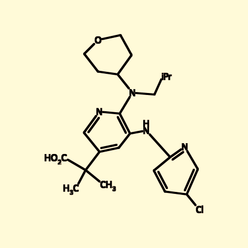 CC(C)CN(c1ncc(C(C)(C)C(=O)O)cc1Nc1ccc(Cl)cn1)C1CCOCC1